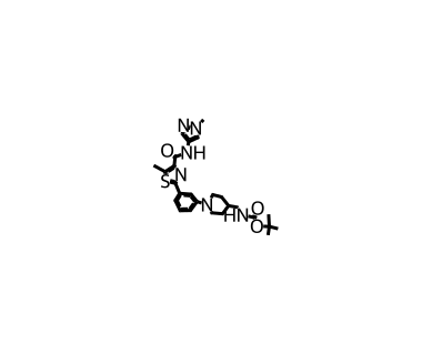 Cc1sc(-c2cccc(N3CCC(CNC(=O)OC(C)(C)C)CC3)c2)nc1C(=O)Nc1cnn(C)c1